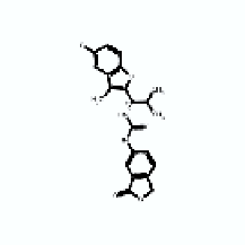 Cc1c([C@@H](NC(=O)Nc2ccc3c(c2)C(=O)OC3)C(C)C)oc2ccc(F)cc12